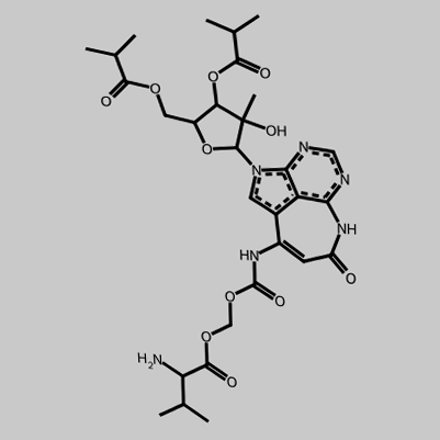 CC(C)C(=O)OCC1OC(n2cc3c4c(ncnc42)NC(=O)C=C3NC(=O)OCOC(=O)C(N)C(C)C)C(C)(O)C1OC(=O)C(C)C